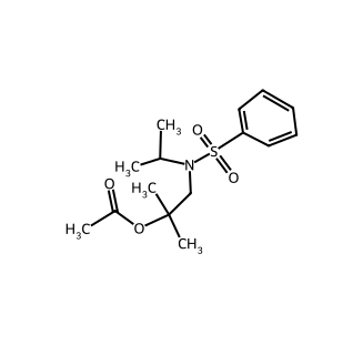 CC(=O)OC(C)(C)CN(C(C)C)S(=O)(=O)c1ccccc1